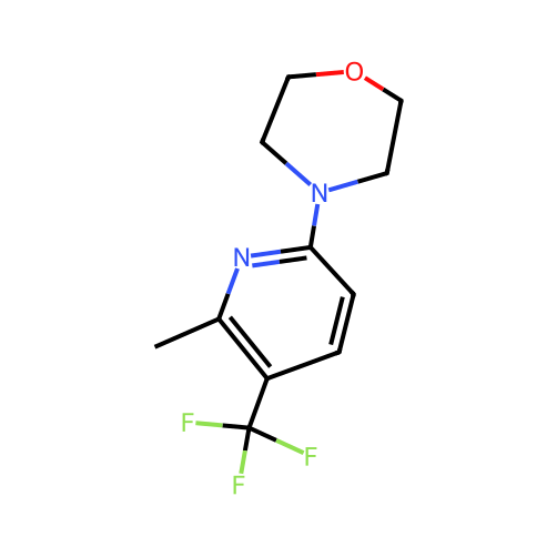 Cc1nc(N2CCOCC2)ccc1C(F)(F)F